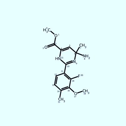 COC(=O)C1=CC(C)(N)N=C(c2ccc(C)c(OC)c2F)N1